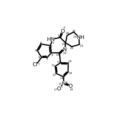 O=C1Nc2ccc(Cl)cc2C(c2ccc([N+](=O)[O-])cc2)=NC12CCNCC2